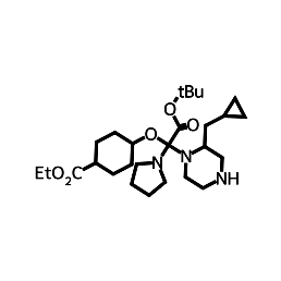 CCOC(=O)C1CCC(OC(C(=O)OC(C)(C)C)(N2CCCC2)N2CCNCC2CC2CC2)CC1